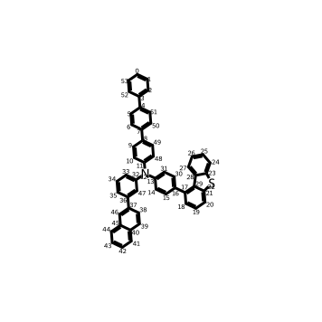 c1ccc(-c2ccc(-c3ccc(N(c4ccc(-c5cccc6sc7ccccc7c56)cc4)c4cccc(-c5ccc6ccccc6c5)c4)cc3)cc2)cc1